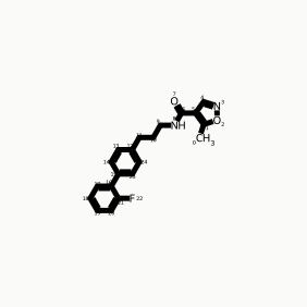 Cc1oncc1C(=O)NCCCc1ccc(-c2ccccc2F)cc1